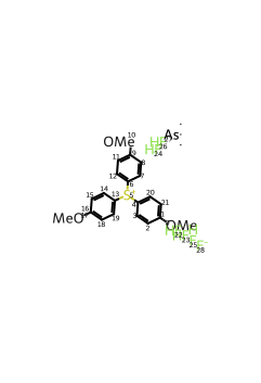 COc1ccc([S+](c2ccc(OC)cc2)c2ccc(OC)cc2)cc1.F.F.F.F.F.[As].[F-]